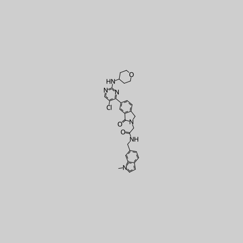 Cn1ccc2ccc(CNC(=O)CN3Cc4ccc(-c5nc(NC6CCOCC6)ncc5Cl)cc4C3=O)cc21